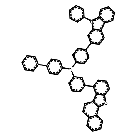 c1ccc(-c2ccc(N(c3ccc(-c4ccc5c6ccccc6n(-c6ccccc6)c5c4)cc3)c3cccc(-c4cccc5oc6c7ccccc7ccc6c45)c3)cc2)cc1